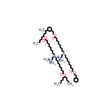 CCCCCC(CCCC)OC(=O)CCCCCCCCCN(CCCCCCCCCC(=O)OC(CCCCC)CCC(C)C1CCCC(CCOC(=O)CCCCCCCCCN(CCCCCCCCCC(=O)OCCC2CCCCC2)CCN(C)C)C1)CCN(C)C